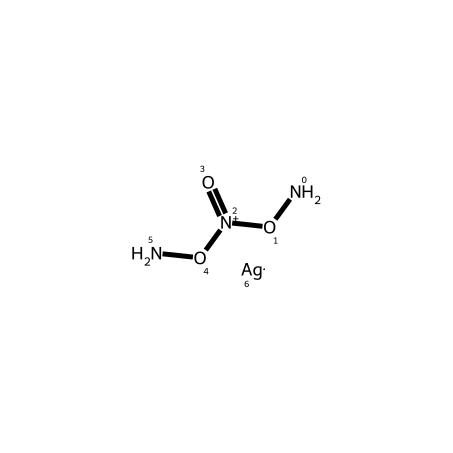 NO[N+](=O)ON.[Ag]